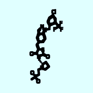 CS(=O)(=O)CCN1CCC[C@H]1CN1C(=O)S/C(=C\c2ccc3c(cnn3Cc3ccc(Cl)cc3C(F)(F)F)c2)C1=O